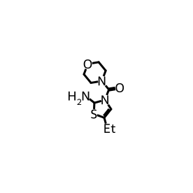 CCC1=CN(C(=O)N2CCOCC2)C(N)S1